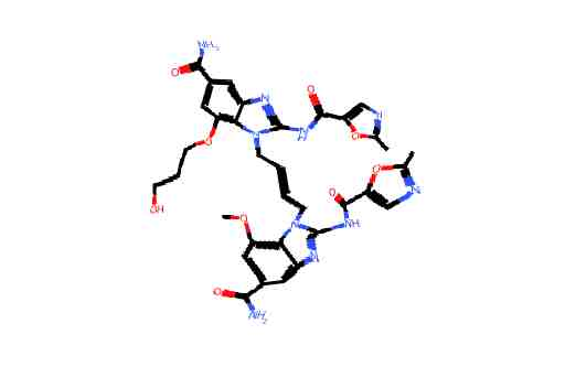 COc1cc(C(N)=O)cc2nc(NC(=O)c3cnc(C)o3)n(C/C=C/Cn3c(NC(=O)c4cnc(C)o4)nc4cc(C(N)=O)cc(OCCCO)c43)c12